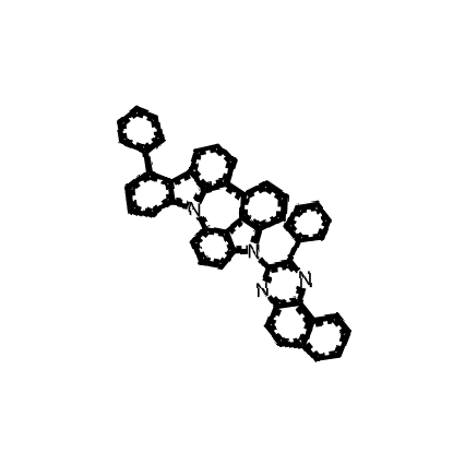 c1ccc(-c2nc3c(ccc4ccccc43)nc2-n2c3cccc4c5cccc6c7c(-c8ccccc8)cccc7n(c7cccc2c7c43)c56)cc1